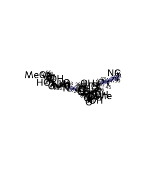 COC[C@H]([C@@H](O)[C@@H](O)C(=O)N[C@@H](C)C[C@@H](C)c1nc(/C=C/C[C@H]2O[C@@]3(C[C@H](O)[C@H]2C)O[C@@H]([C@@H](C[C@@H](O)[C@@H](C)[C@@H](O)[C@@H](C)/C=C(C)/C(C)=C/C=C/C(C)=C\C#N)OC)[C@@H](OP(=O)(O)O)C3(C)C)co1)N(C)C